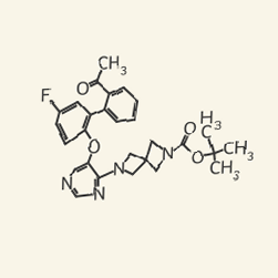 CC(=O)c1ccccc1-c1cc(F)ccc1Oc1cncnc1N1CC2(CN(C(=O)OC(C)(C)C)C2)C1